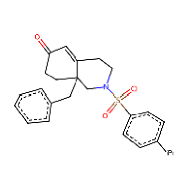 CC(C)c1ccc(S(=O)(=O)N2CCC3=CC(=O)CCC3(Cc3ccccc3)C2)cc1